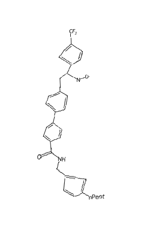 CCCCCc1ccc(CNC(=O)c2ccc(-c3ccc(CC([N][O])c4ccc(C(F)(F)F)cc4)cc3)cc2)cc1